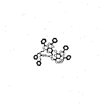 CCCCOCC1O[C@@H](OCCN(Cc2ccccc2)C(=O)OCc2ccccc2)[C@@H](OC(=O)c2ccccc2)C(OC(=O)c2ccccc2)[C@@H]1O[C@@H]1OC(C(=O)OC)[C@@H](O)C(OC(=O)c2ccccc2)[C@@H]1OC(=O)c1ccccc1